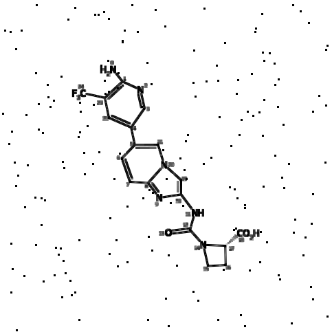 Nc1ncc(-c2ccc3nc(NC(=O)N4CC[C@H]4C(=O)O)cn3c2)cc1C(F)(F)F